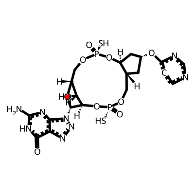 Nc1nc2c(nnn2[C@@H]2O[C@@H]3CO[P@@](=O)(S)O[C@H]4C[C@H](Oc5ccncn5)C[C@@H]4CO[P@](=O)(S)O[C@@H]2[C@@H]3O)c(=O)[nH]1